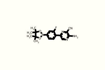 CC1(C)OB(c2ccc(-c3cnc(N)c(C#N)n3)c(F)c2)OC1(C)C